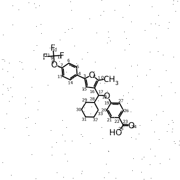 Cc1oc(-c2ccc(OC(F)(F)F)cc2)cc1C(Oc1ccc(C(=O)O)cc1)C1CCCCC1